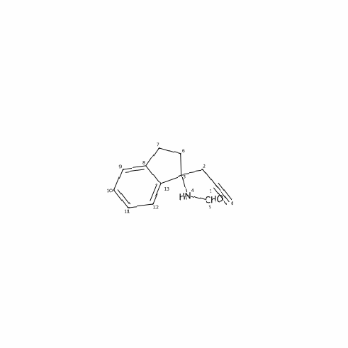 C#CCC1(NC=O)CCc2ccccc21